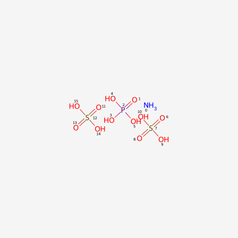 N.O=P(O)(O)O.O=S(=O)(O)O.O=S(=O)(O)O